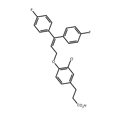 O=C(O)CCc1ccc(OCC=C(c2ccc(F)cc2)c2ccc(F)cc2)c(Cl)c1